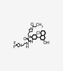 C=CC(=O)N1CC(Cn2c(=O)c(NCCN3CC(F)(F)C3)nc3cc(-c4cc(O)cc5ccccc45)c(Cl)cc32)C1